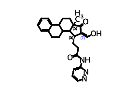 C[C@]12CCC3c4ccccc4CCC3C1[C@H](CCC(=O)Nc1cccnn1)/C(=C/O)C2=O